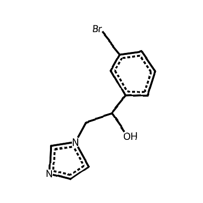 OC(Cn1ccnc1)c1cccc(Br)c1